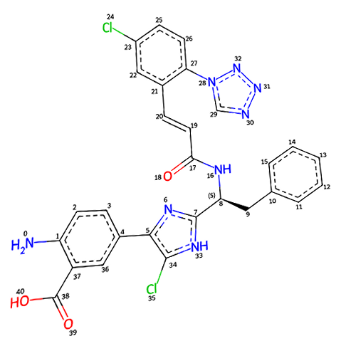 Nc1ccc(-c2nc([C@H](Cc3ccccc3)NC(=O)C=Cc3cc(Cl)ccc3-n3cnnn3)[nH]c2Cl)cc1C(=O)O